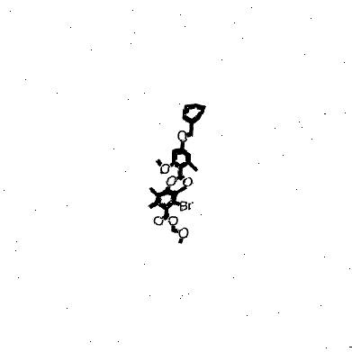 COCOC(=O)c1c(C)c(C)c(OC(=O)c2c(C)cc(OCc3ccccc3)cc2OC)c(C)c1Br